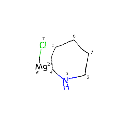 C1CCNCC1.[Mg+2][Cl]